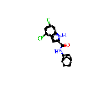 O=C(NC1CC2CCC1C2)c1cc2c(Cl)cc(Cl)cc2[nH]1